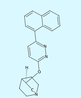 c1ccc2c(-c3ccc(O[C@H]4CN5CCC4CC5)nn3)cccc2c1